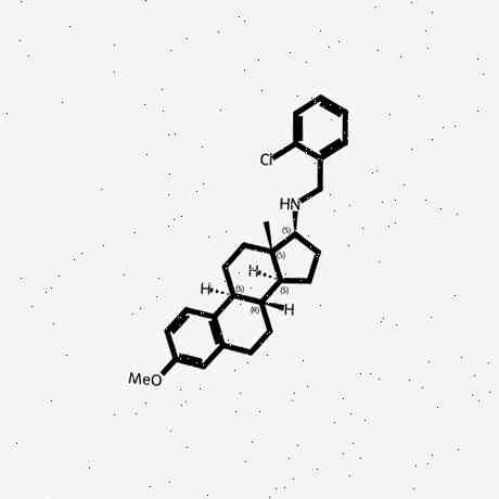 COc1ccc2c(c1)CC[C@@H]1[C@@H]2CC[C@]2(C)[C@@H](NCc3ccccc3Cl)CC[C@@H]12